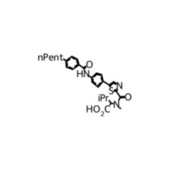 CCCCCc1ccc(C(=O)Nc2ccc(-c3cnc(C(=O)N(C)C(C(=O)O)C(C)C)s3)cc2)cc1